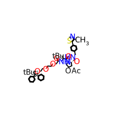 CC(=O)O[C@@H]1C[C@@H](C(=O)NCc2ccc(-c3scnc3C)cc2)N(C(=O)C(NC(=O)COCCOCCO[Si](c2ccccc2)(c2ccccc2)C(C)(C)C)C(C)(C)C)C1